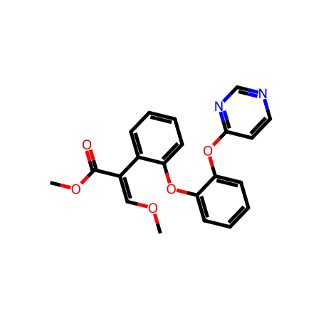 CO/C=C(/C(=O)OC)c1ccccc1Oc1ccccc1Oc1ccncn1